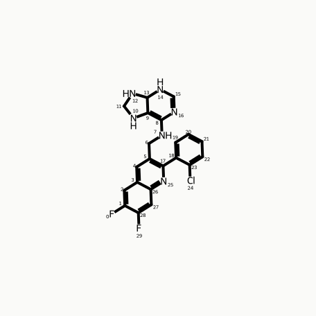 Fc1cc2cc(CNC3=C4NCNC4NC=N3)c(-c3ccccc3Cl)nc2cc1F